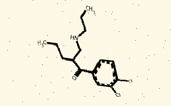 CCCNCC(CCC)C(=O)c1ccc(Cl)c(Cl)c1